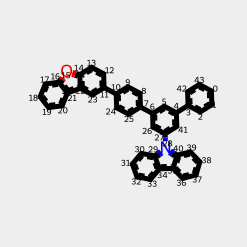 c1ccc(-c2cc(-c3ccc(-c4ccc5oc6ccccc6c5c4)cc3)cc(-n3c4ccccc4c4ccccc43)c2)cc1